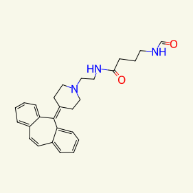 O=CNCCCC(=O)NCCN1CCC(=C2c3ccccc3C=Cc3ccccc32)CC1